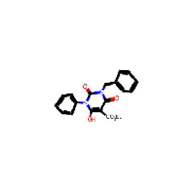 CCOC(=O)c1c(O)n(-c2ccccc2)c(=O)n(Cc2ccccc2)c1=O